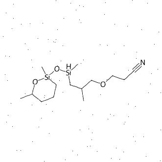 CC(COCCC#N)C[SiH](C)O[Si]1(C)CCCC(C)O1